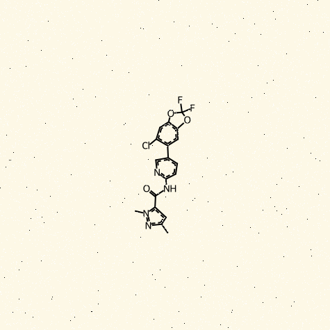 Cc1cc(C(=O)Nc2ccc(-c3cc4c(cc3Cl)OC(F)(F)O4)cn2)n(C)n1